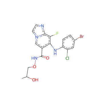 CC(O)CONC(=O)c1cn2ccnc2c(F)c1Nc1ccc(Br)cc1Cl